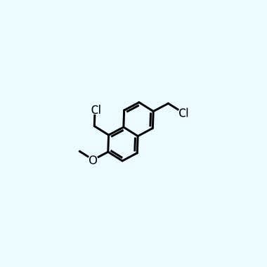 COc1ccc2cc(CCl)ccc2c1CCl